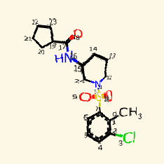 Cc1c(Cl)cccc1S(=O)(=O)N1CCCC(NC(=O)C2CCCC2)C1